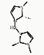 C[C@@H]1N(C)C=CN1BN1C=CN(C)[C@@H]1C